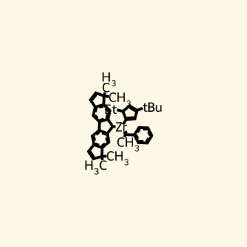 CCC1C=C(C(C)(C)C)C=[C]1[Zr](=[C](C)c1ccccc1)[CH]1c2cc3c(cc2-c2cc4c(cc21)C(C)(C)C=C4)C=CC3(C)C